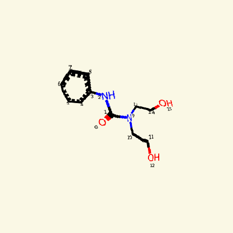 O=C(Nc1ccccc1)N(CCO)CCO